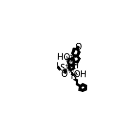 C[C@]12[C@@H](CCC3=CC(=O)C=C[C@@]31C)[C@]1(C)C[C@@H](CN(O)CCCc3ccccc3)[C@H](C(=O)SCI)[C@@]1(C)C[C@@H]2O